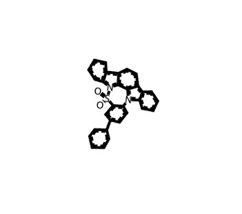 O=S1(=O)c2cc(-c3ccccc3)ccc2-n2c3ccccc3c3ccc4c5ccccc5n1c4c32